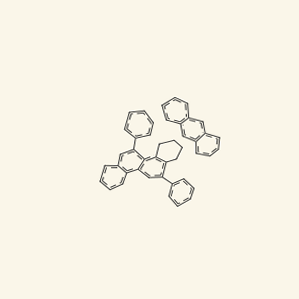 c1ccc(-c2cc3c(c(-c4ccccc4)cc4ccccc43)c3c2CCCC3)cc1.c1ccc2cc3ccccc3cc2c1